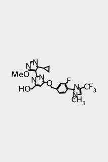 COc1ncnc(C2CC2)c1-c1nc(CO)cc(OCc2ccc(-c3nc(C(F)(F)F)cn3C)c(F)c2)n1